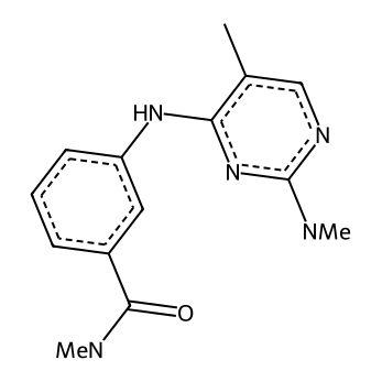 CNC(=O)c1cccc(Nc2nc(NC)ncc2C)c1